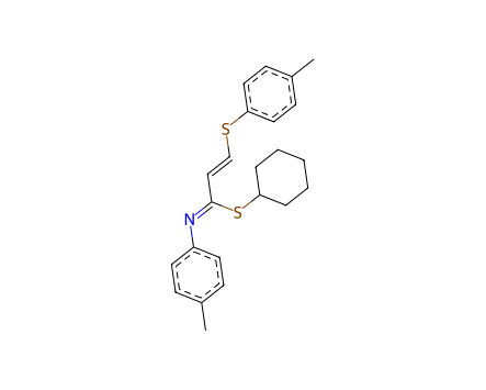 Cc1ccc(N=C(C=CSc2ccc(C)cc2)SC2CCCCC2)cc1